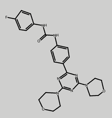 O=C(Nc1ccc(F)cc1)Nc1ccc(-c2nc(N3CCOCC3)nc(N3CCOCC3)n2)cc1